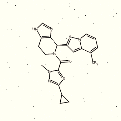 Cn1nc(C2CC2)nc1C(=O)N1CCc2[nH]cnc2[C@H]1c1cc2c(C(F)(F)F)cccn2n1